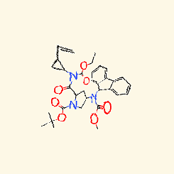 C=CC1CC1N(C(=O)OCC)C(=O)C1CC(N(C(=O)OC)C2c3ccccc3-c3ccccc32)CN1C(=O)OC(C)(C)C